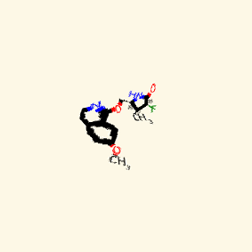 COc1ccc2ccnc(OC[C@@H]3NC(=O)[C@H](F)[C@@H]3C)c2c1